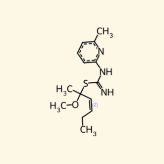 CC/C=C\C(C)(OC)SC(=N)Nc1cccc(C)n1